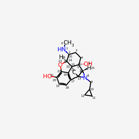 CN[C@H]1CC[C@@]2(O)[C@@H]3N(CC4CC4)C34C[C@@]23c2c4ccc(O)c2O[C@@H]13